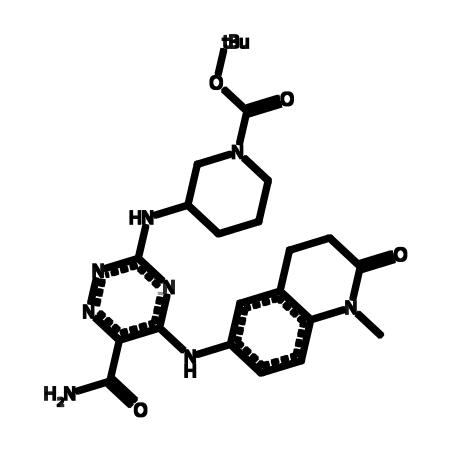 CN1C(=O)CCc2cc(Nc3nc(NC4CCCN(C(=O)OC(C)(C)C)C4)nnc3C(N)=O)ccc21